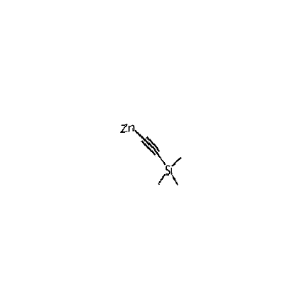 C[Si](C)(C)C#[C][Zn]